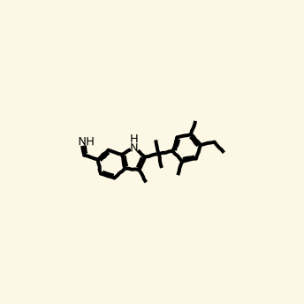 CCc1cc(C)c(C(C)(C)c2[nH]c3cc(C=N)ccc3c2C)cc1C